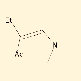 CC/C(=C/N(C)C)C(C)=O